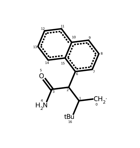 [CH2]C(C(C(N)=O)c1cccc2ccccc12)C(C)(C)C